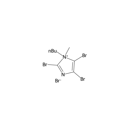 CCCC[N+]1(C)C(Br)=NC(Br)=C1Br.[Br-]